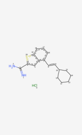 Cl.N=C(N)c1cc2c(C=CC3CCCCC3)cccc2s1